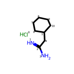 Cl.N=C(N)CC1CCCCC1